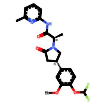 CCOc1cc([C@@H]2CC(=O)N([C@H](C)C(=O)Nc3cccc(C)n3)C2)ccc1OC(F)F